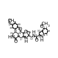 COc1cccc2[nH]c(C(=O)NCC(=O)N[C@@H](C[C@@H]3CCCNC3=O)C(=O)COc3ccc(SC)cc3)cc12